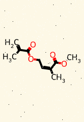 C=C(C)C(=O)OCC=C(C)C(=O)OC